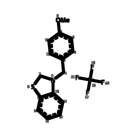 COc1ccc(CN2CSc3ccccc32)cc1.F[B-](F)(F)F